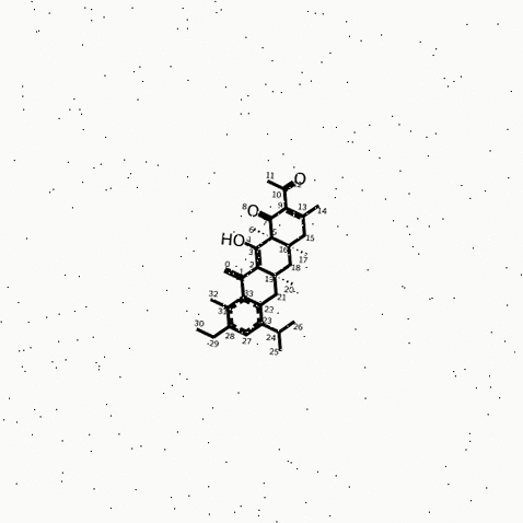 C=C1C2=C(O)[C@@]3(C)C(=O)C(C(C)=O)=C(C)C[C@@]3(C)C[C@@]2(C)Cc2c(C(C)C)cc(CC)c(C)c21